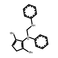 CC(C)(C)C1=CCC(C(C)(C)C)=C1[SiH](CNc1ccccc1)c1ccccc1